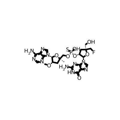 CO[C@@H]1C[C@](C)(COP(O)(=S)O[C@@H]2C[C@@](CO)(CF)O[C@H]2n2cnc3c(=O)[nH]c(N)nc32)O[C@H]1n1cnc2c(N)ncnc21